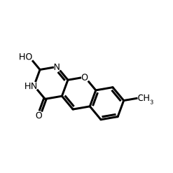 Cc1ccc2c(c1)OC1=NC(O)NC(=O)C1=C2